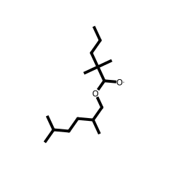 CCCC(C)(C)C([O])OCC(C)CCC(C)C